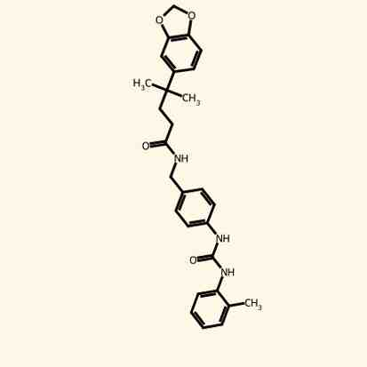 Cc1ccccc1NC(=O)Nc1ccc(CNC(=O)CCC(C)(C)c2ccc3c(c2)OCO3)cc1